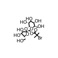 CC(C)(Br)C(=O)OC[C@@]1(O[C@H]2O[C@H](CO)[C@@H](O)[C@H](O)[C@H]2O)O[C@H](CO)[C@@H](O)[C@@H]1O